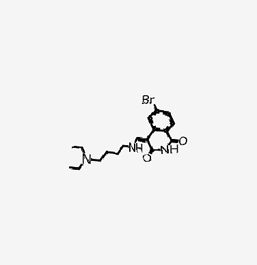 CCN(CC)CCCCNC=C1C(=O)NC(=O)c2ccc(Br)cc21